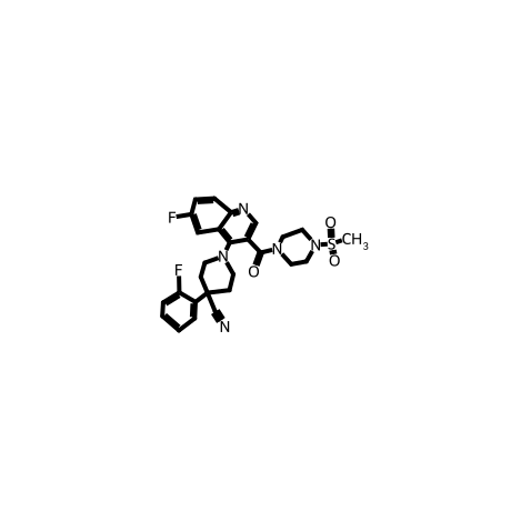 CS(=O)(=O)N1CCN(C(=O)c2cnc3ccc(F)cc3c2N2CCC(C#N)(c3ccccc3F)CC2)CC1